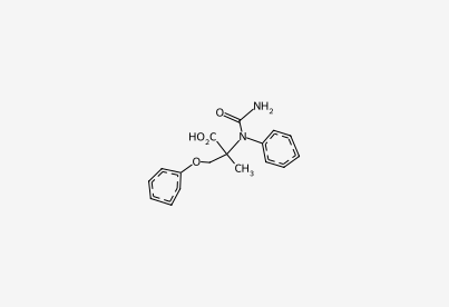 CC(COc1ccccc1)(C(=O)O)N(C(N)=O)c1ccccc1